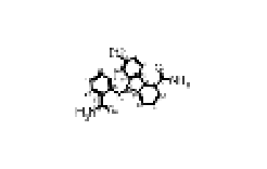 CCc1c[c]c2c3c(C(N)=O)cccc3n(Cc3ccccc3C(N)=O)c2c1